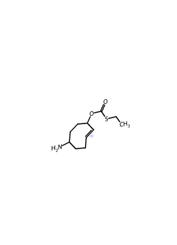 CCSC(=O)OC1/C=C/CCC(N)CC1